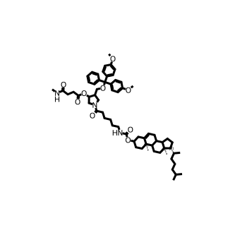 CNC(=O)CCC(=O)OC1CN(C(=O)CCCCCNC(=O)OC2CC[C@@]3(C)C(=CCC4C3CC[C@@]3(C)C4CC[C@@H]3C(C)CCCC(C)C)C2)CC1COC(c1ccccc1)(c1ccc(OC)cc1)c1ccc(OC)cc1